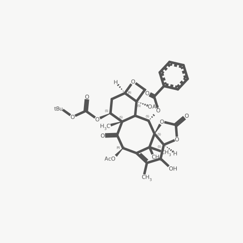 CC(=O)O[C@H]1C(=O)[C@@]2(C)C([C@H](OC(=O)c3ccccc3)[C@]34OC(=O)O[C@H]3C(O)C(C)=C1C4(C)C)[C@]1(OC(C)=O)CO[C@@H]1C[C@@H]2OC(=O)OC(C)(C)C